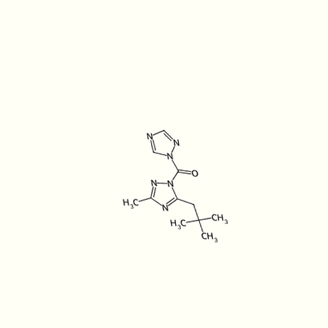 Cc1nc(CC(C)(C)C)n(C(=O)n2cncn2)n1